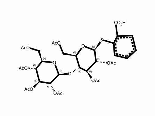 CC(=O)OC[C@H]1O[C@@H](Sc2ccccc2C(=O)O)[C@H](OC(C)=O)[C@@H](OC(C)=O)[C@@H]1O[C@@H]1O[C@H](COC(C)=O)[C@@H](OC(C)=O)[C@H](OC(C)=O)[C@H]1OC(C)=O